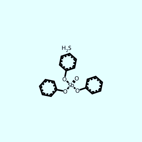 S.[O]=[Sb]([O]c1ccccc1)([O]c1ccccc1)[O]c1ccccc1